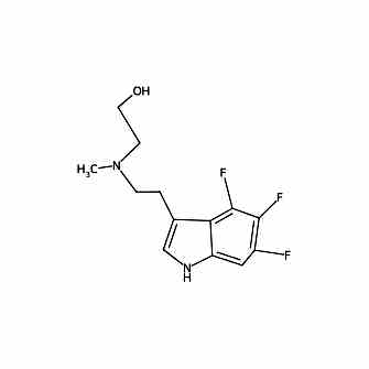 CN(CCO)CCc1c[nH]c2cc(F)c(F)c(F)c12